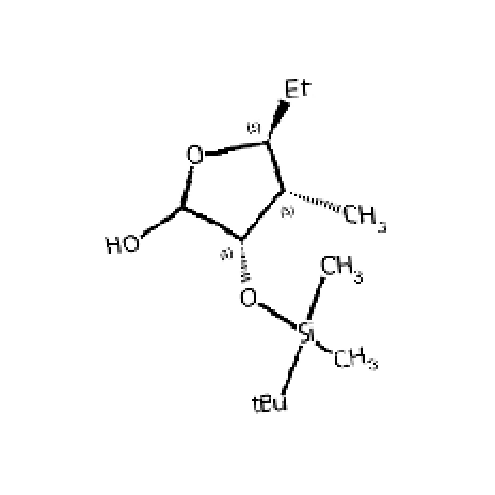 CC[C@@H]1OC(O)[C@@H](O[Si](C)(C)C(C)(C)C)[C@H]1C